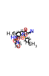 Cc1ccc(S(=O)(=O)n2c(C(=O)CC#N)cc3cc(C)c(NS(=O)(=O)N4CCOCC4)cc32)cc1